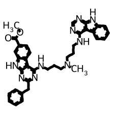 COC(=O)c1ccc2c(c1)[nH]c1nc(Cc3ccccc3)nc(NCCCN(C)CCCNc3ncnc4[nH]c5ccccc5c34)c12